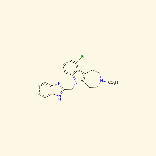 O=C(O)N1CCc2c(n(Cc3nc4ccccc4[nH]3)c3cccc(Br)c23)CC1